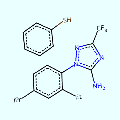 CCc1cc(C(C)C)ccc1-n1nc(C(F)(F)F)nc1N.Sc1ccccc1